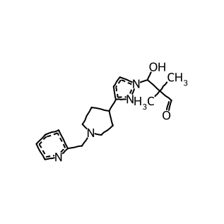 CC(C)(C=O)C(O)n1ccc(C2CCN(Cc3ccccn3)CC2)n1